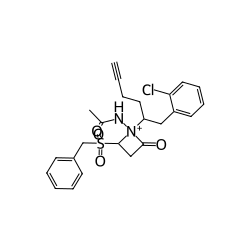 C#CCCC(Cc1ccccc1Cl)[N+]1(NC(C)=O)C(=O)CC1S(=O)(=O)Cc1ccccc1